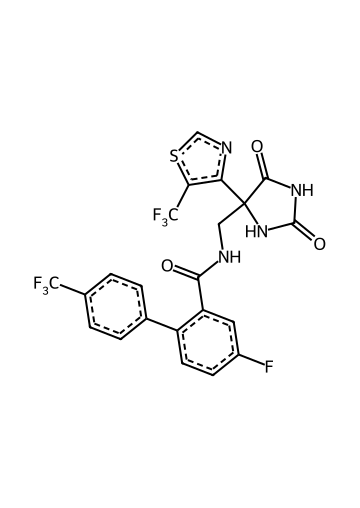 O=C1NC(=O)C(CNC(=O)c2cc(F)ccc2-c2ccc(C(F)(F)F)cc2)(c2ncsc2C(F)(F)F)N1